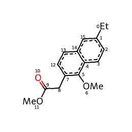 CCc1ccc2c(OC)c(CC(=O)OC)ccc2c1